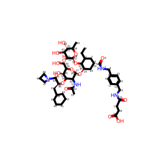 CCC1C[C@H](C(=O)NCc2ccc(CNC(=O)CCC(=O)O)cc2)C[C@@H](O[C@@H]2OC(CO)[C@H](O)C(O[C@@H](CC3CCCCC3)C(=O)N3CCC3)C2NC(C)=O)C1O[C@@H]1OC(C)[C@@H](O)C(O)C1O